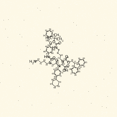 CC(C)(C)OC(=O)NCCCCN(C(=O)OCC1c2ccccc2-c2ccccc21)C(C(=O)O)N(C(=O)CN(CCCCN)C(=O)Nc1ccc(OCc2ccccc2)cc1)c1ccc(C2CCCCC2)cc1